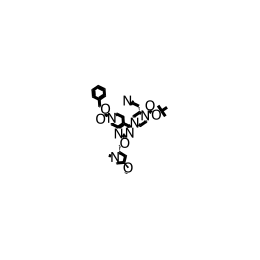 CO[C@@H]1C[C@@H](COc2nc3c(c(N4CCN(C(=O)OC(C)(C)C)[C@@H](CC#N)C4)n2)CCN(C(=O)OCc2ccccc2)C3)N(C)C1